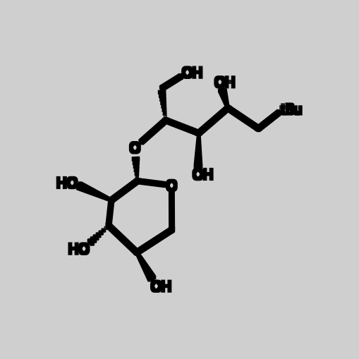 CC(C)(C)C[C@H](O)[C@@H](O)[C@@H](CO)O[C@@H]1OC[C@@H](O)[C@H](O)[C@H]1O